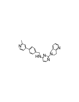 Cc1cc(-c2ccc(CNc3ccnc(N4CCc5ncccc5C4)n3)cc2)ccn1